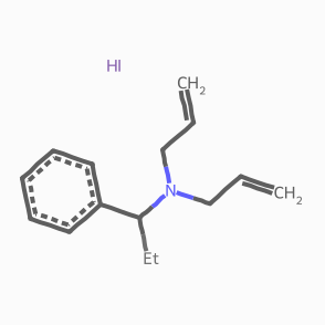 C=CCN(CC=C)C(CC)c1ccccc1.I